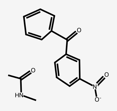 CNC(C)=O.O=C(c1ccccc1)c1cccc([N+](=O)[O-])c1